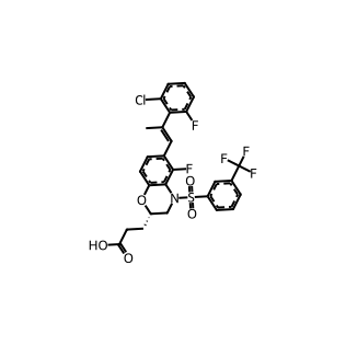 C/C(=C\c1ccc2c(c1F)N(S(=O)(=O)c1cccc(C(F)(F)F)c1)C[C@H](CCC(=O)O)O2)c1c(F)cccc1Cl